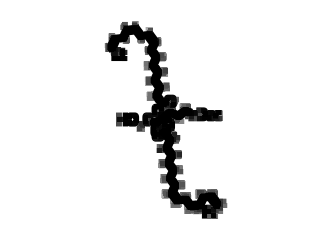 CC/C=C\C/C=C\C/C=C\CCCCCCCC(=O)OC(CCCCCCCCCCCCC)(OC(=O)CCCCCCC/C=C\C/C=C\C/C=C\CC)C(C)C(=O)O